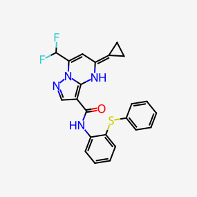 O=C(Nc1ccccc1Sc1ccccc1)c1cnn2c1NC(=C1CC1)C=C2C(F)F